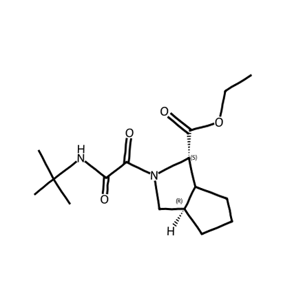 CCOC(=O)[C@@H]1C2CCC[C@H]2CN1C(=O)C(=O)NC(C)(C)C